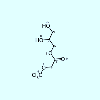 O=C(COC(Cl)(Cl)Cl)OCC(O)CO